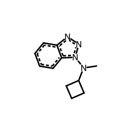 CN(C1CCC1)n1nnc2ccccc21